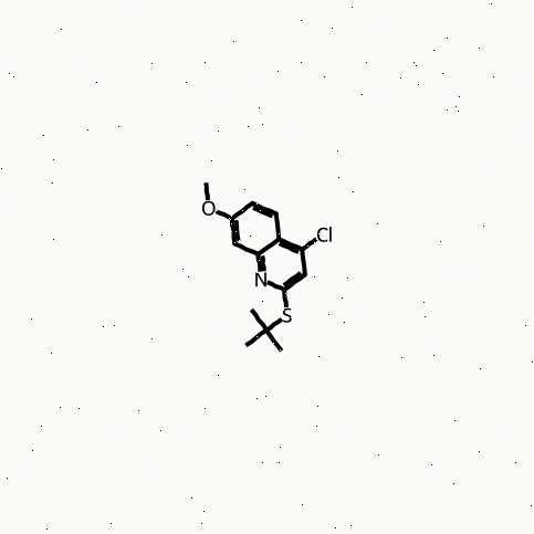 COc1ccc2c(Cl)cc(SC(C)(C)C)nc2c1